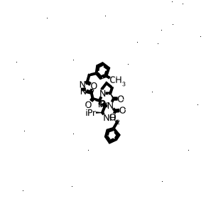 Cc1cccc(Cc2nnc(C(=O)[C@H](C(C)C)N3CCC[C@H]3C(=O)N(C(=O)OCc3ccccc3)C(=O)[C@@H](N)C(C)C)o2)c1